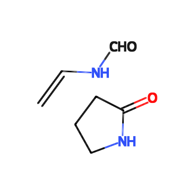 C=CNC=O.O=C1CCCN1